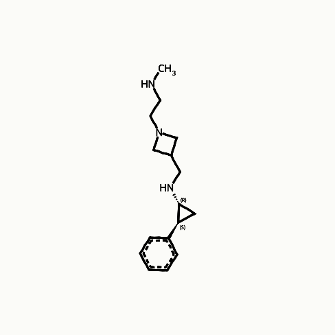 CNCCN1CC(CN[C@@H]2C[C@H]2c2ccccc2)C1